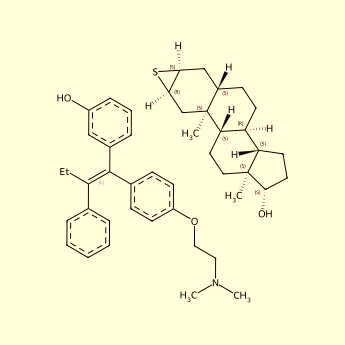 CC/C(=C(/c1ccc(OCCN(C)C)cc1)c1cccc(O)c1)c1ccccc1.C[C@]12C[C@H]3S[C@H]3C[C@@H]1CC[C@@H]1[C@@H]2CC[C@]2(C)[C@@H](O)CC[C@@H]12